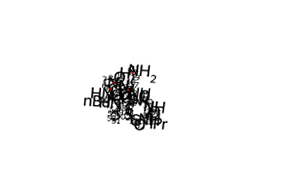 CCCC[C@H](NC(=O)[C@H]1CCCN1C(=O)CNC(=O)[C@@H](CCCCN)NC(=O)[C@H]1CSSCCC(=O)N[C@@H](CC(C)C)C(=O)NCC(=O)N1)C(=O)NCCc1ccccc1